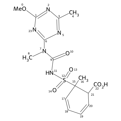 COc1nc(C)nc(N(C)C(=O)NS(=O)(=O)C2(C)C=CC=CC2C(=O)O)n1